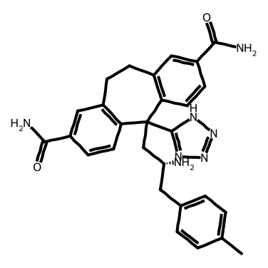 Cc1ccc(C[C@@H](N)CC2(c3nnn[nH]3)c3ccc(C(N)=O)cc3CCc3cc(C(N)=O)ccc32)cc1